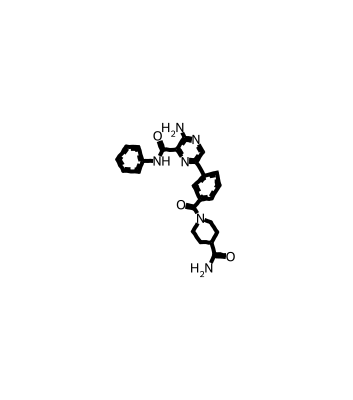 NC(=O)C1CCN(C(=O)c2cccc(-c3cnc(N)c(C(=O)Nc4ccccc4)n3)c2)CC1